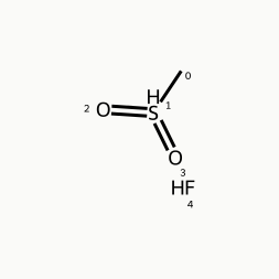 C[SH](=O)=O.F